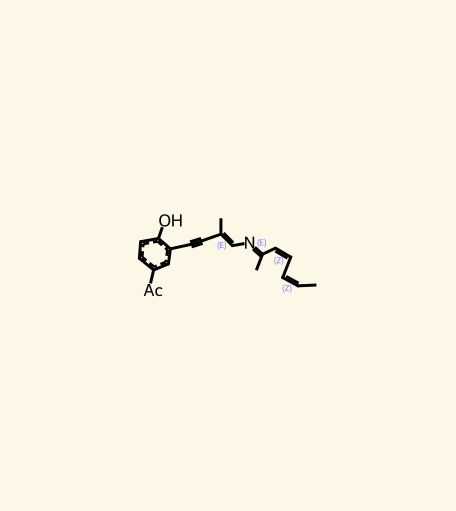 C\C=C/C=C\C(C)=N\C=C(/C)C#Cc1cc(C(C)=O)ccc1O